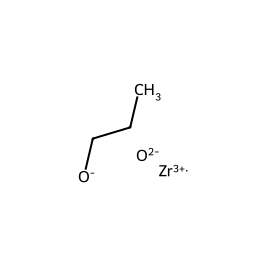 CCC[O-].[O-2].[Zr+3]